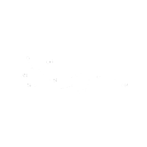 Cc1c(N2Cc3c#cc(OCCO)cc3C2)cn[nH]c1=O